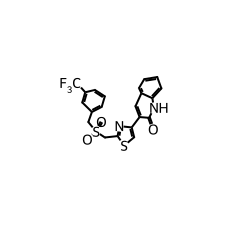 O=c1[nH]c2ccccc2cc1-c1csc(CS(=O)(=O)Cc2cccc(C(F)(F)F)c2)n1